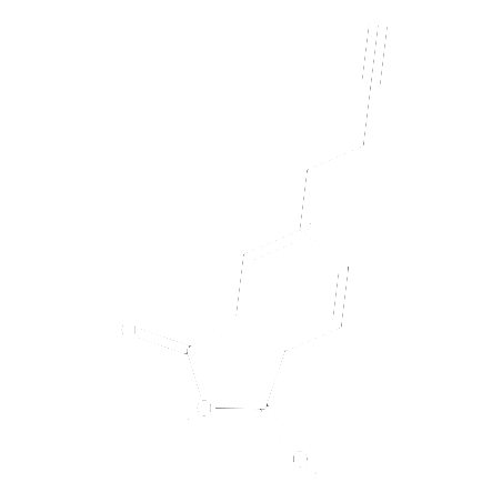 C#CCCc1ccc2c(c1)C(=O)OC2=O